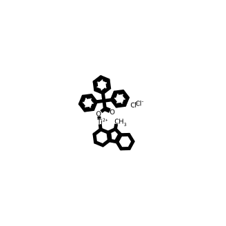 CC1C2=C(CCCC2)C2=C1[CH]([Ti+2][O]C(=O)C(c1ccccc1)(c1ccccc1)c1ccccc1)CCC2.[Cl-].[Cl-]